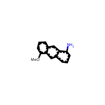 COc1cccc2cc3c(N)cccc3cc12